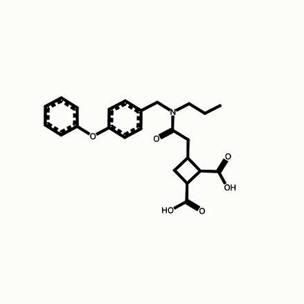 CCCN(Cc1ccc(Oc2ccccc2)cc1)C(=O)CC1CC(C(=O)O)C1C(=O)O